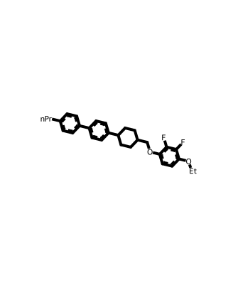 CCCc1ccc(-c2ccc(C3CCC(COc4ccc(OCC)c(F)c4F)CC3)cc2)cc1